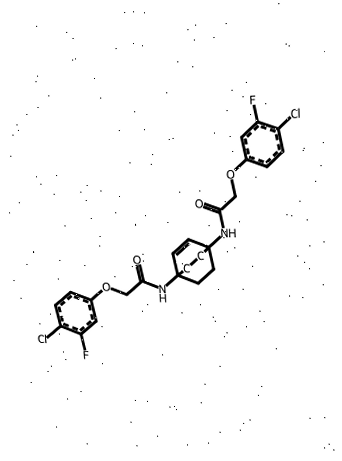 O=C(COc1ccc(Cl)c(F)c1)NC12C=CC(NC(=O)COc3ccc(Cl)c(F)c3)(CC1)CC2